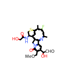 COCc1c(C(O)C=O)cc2n(c1=O)Cc1c3cc(c(C)c(F)cc(C)nc1-2)SCC3NC(=O)CO